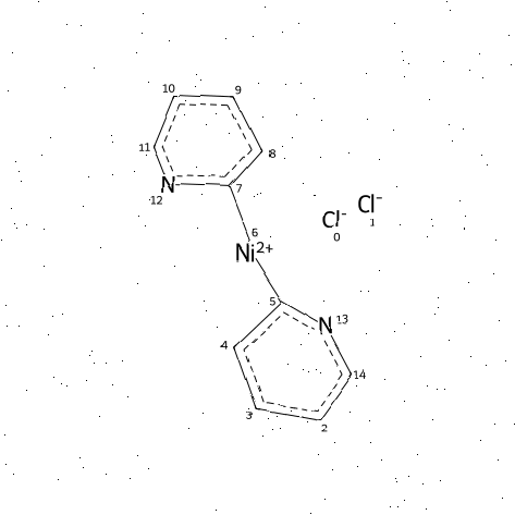 [Cl-].[Cl-].c1cc[c]([Ni+2][c]2ccccn2)nc1